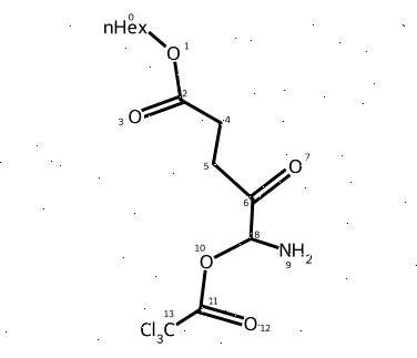 CCCCCCOC(=O)CCC(=O)C(N)OC(=O)C(Cl)(Cl)Cl